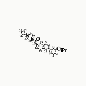 CC(C)Oc1cccc(-c2ccc3c(c2)CCN(CC(=O)N2CCN(C4CCC4)CC2)C3)c1